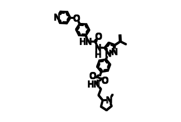 C=C(C)c1cc(NC(=O)Nc2ccc(Oc3ccncc3)cc2)n(-c2ccc(S(=O)(=O)NCCC3CCCN3C)cc2)n1